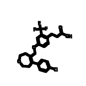 O=C(O)CCc1ccc(OCC2=C(c3ccc(Cl)cc3)CCOCC2)cc1C(F)(F)F